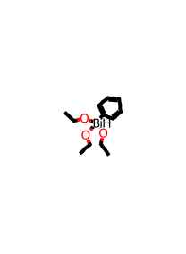 CC[O][BiH]([O]CC)([O]CC)[c]1ccccc1